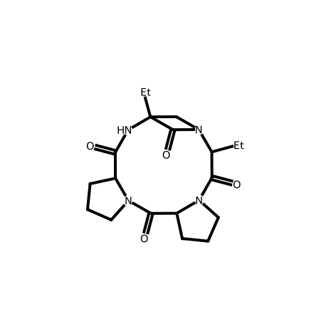 CCC1C(=O)N2CCCC2C(=O)N2CCCC2C(=O)NC2(CC)CN1C2=O